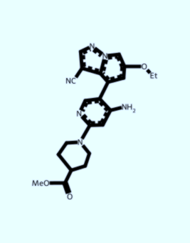 CCOc1cc(-c2cnc(N3CCC(C(=O)OC)CC3)cc2N)c2c(C#N)cnn2c1